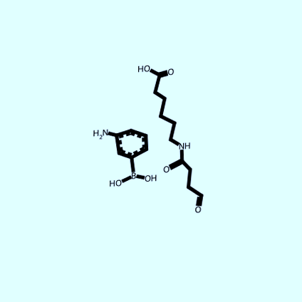 Nc1cccc(B(O)O)c1.O=CCCC(=O)NCCCCCC(=O)O